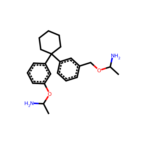 CC(N)OCc1cccc(C2(c3cccc(OC(C)N)c3)CCCCC2)c1